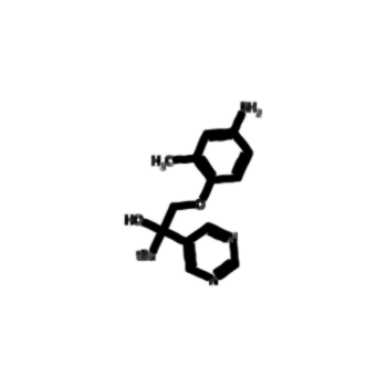 Bc1ccc(OCC(O)(c2cncnc2)C(C)(C)C)c(C)c1